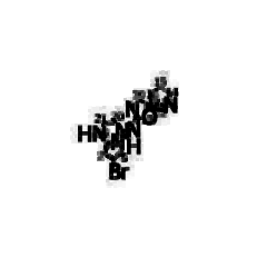 Brc1cc2n(c1)N(NC1=NC[C@@]3(CN4CCC3CC4)O1)C=CN2